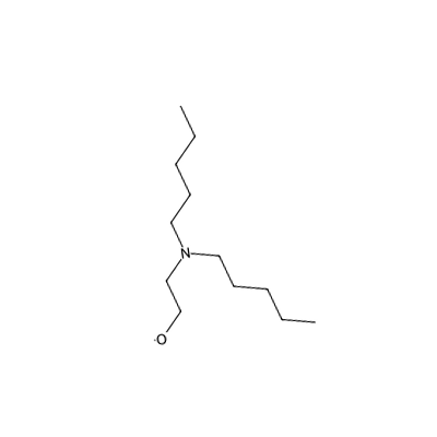 CCCCCN(CC[O])CCCCC